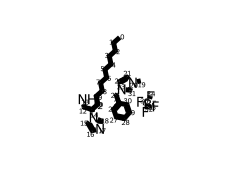 CCCCCCCCCCCC(CN)n1ccnc1.CN1C=CN(Cc2ccccc2)C1.F[B-](F)(F)F